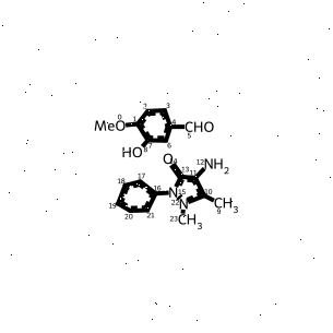 COc1ccc(C=O)cc1O.Cc1c(N)c(=O)n(-c2ccccc2)n1C